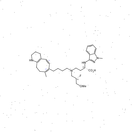 COC[C@@H](F)CN(CCCCC1=C(\C)CCC2=C(/C=C\1)CCCN2)CC[C@H](Nc1nn(C)c2ccccc12)C(=O)O